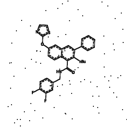 CCCCc1c(-c2ccccc2)cc2cc(Oc3nccs3)ccc2c1C(=O)NCc1ccc(F)c(F)c1